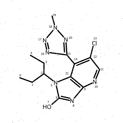 CCC(CC)n1c(O)nc2ncc(Cl)c(-c3nnn(C)n3)c21